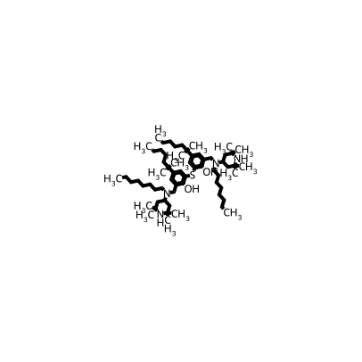 CCCCCCCCN(Cc1cc(C(C)(C)CCCCC)cc(Sc2cc(C(C)(C)CCCCC)cc(CN(CCCCCCCC)C3CC(C)(C)NC(C)(C)C3)c2O)c1O)C1CC(C)(C)NC(C)(C)C1